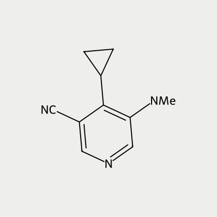 CNc1cncc(C#N)c1C1CC1